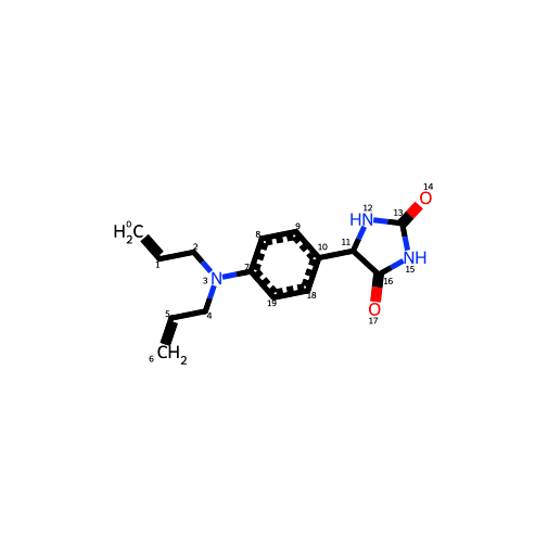 C=CCN(CC=C)c1ccc(C2NC(=O)NC2=O)cc1